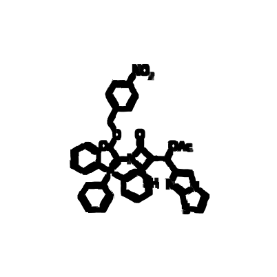 CC(=O)OC(c1cn2ccsc2n1)C1C(=O)N(C(C(=O)OCc2ccc([N+](=O)[O-])cc2)=P(c2ccccc2)(c2ccccc2)c2ccccc2)C1S